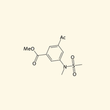 COC(=O)c1cc(C(C)=O)cc(N(C)S(C)(=O)=O)c1